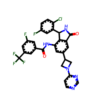 O=C(Nc1cc(C2CN(c3ccncn3)C2)cc2c1C(c1cc(F)ccc1Cl)NC2=O)c1cc(F)cc(C(F)(F)F)c1